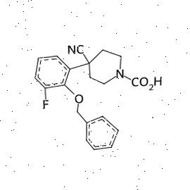 N#CC1(c2cccc(F)c2OCc2ccccc2)CCN(C(=O)O)CC1